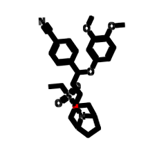 CCS(=O)(=O)N1CC2CCC(C1)N2CCCC(Oc1ccc(OC)c(OC)c1)c1ccc(C#N)cc1